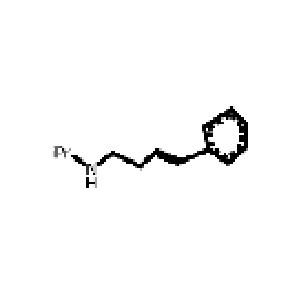 CC(C)NCCC=Cc1ccccc1